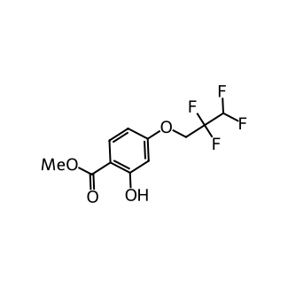 COC(=O)c1ccc(OCC(F)(F)C(F)F)cc1O